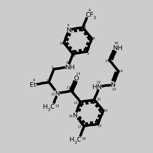 CCC(CNc1ccc(C(F)(F)F)nc1)N(C)C(=O)c1nc(C)ccc1N/N=C\C=N